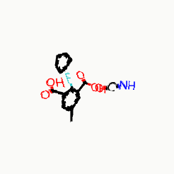 Cc1cc(C(=O)O)c(F)c(C(=O)O)c1.N=C=O.c1ccccc1